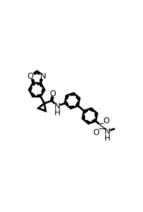 CNS(=O)(=O)c1ccc(-c2cccc(NC(=O)C3(c4ccc5ocnc5c4)CC3)c2)cc1